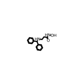 O=C(CCNC(c1ccccc1)c1ccccc1)NO